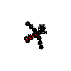 N#Cc1cc(-n2c3ccc(-c4ccc(-c5ccccc5)nc4)cc3c3cc(-c4ccc(-c5ccccc5)nc4)ccc32)c(-n2c3ccc(-c4ccc(-c5ccccc5)nc4)cc3c3cc(-c4ccc(-c5ccccc5)nc4)ccc32)cc1-c1c(F)c(F)c(F)c(F)c1F